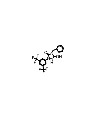 O=C1N(c2cc(C(F)(F)F)cc(C(F)(F)F)c2)NC(O)N1Cc1ccccc1